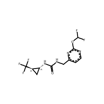 O=C(NCc1ccnc(OC(F)F)n1)N[C@@H]1C[C@H]1C(F)(F)F